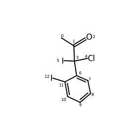 CC(=O)C(Cl)(I)c1ccccc1I